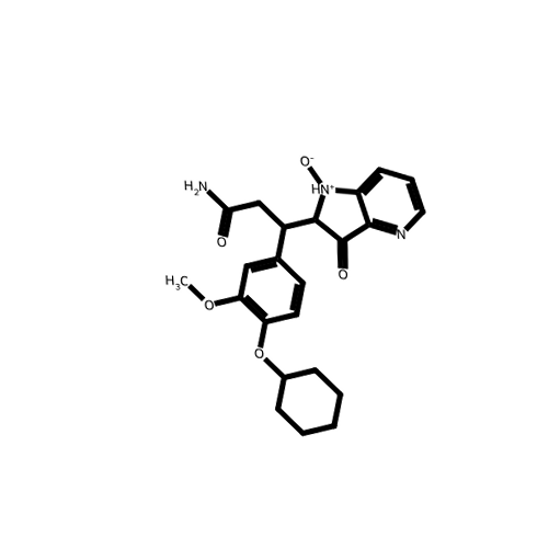 COc1cc(C(CC(N)=O)C2C(=O)c3ncccc3[NH+]2[O-])ccc1OC1CCCCC1